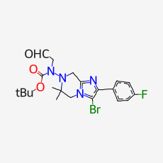 CC(C)(C)OC(=O)N(CC=O)N1Cc2nc(-c3ccc(F)cc3)c(Br)n2CC1(C)C